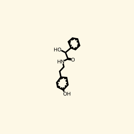 O=C(NCCc1ccc(O)cc1)C(O)c1ccccc1